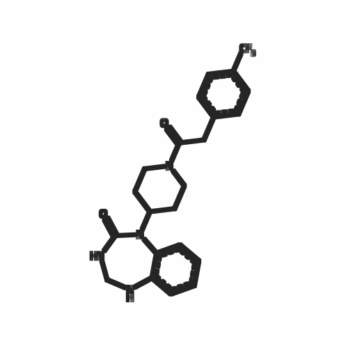 O=C(Cc1ccc(C(F)(F)F)cc1)N1CCC(N2C(=O)NCNc3ccccc32)CC1